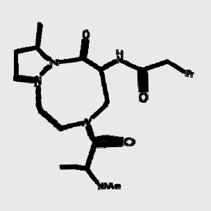 CNC(C)C(=O)N1CCN2CCC(C)N2C(=O)C(NC(=O)CC(C)C)C1